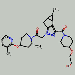 C[C@@H]1C2Cc3c(c(C(=O)N4CCC(OCCO)CC4)nn3CC(=O)N3CC[C@@H](Oc4ncccc4C(F)(F)F)C[C@H]3C)C21